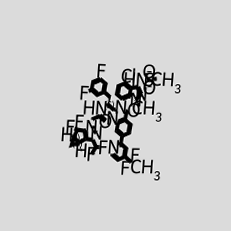 Cn1nc(NS(C)(=O)=O)c2c(Cl)ccc(-n3c([C@H](Cc4cc(F)cc(F)c4)NC(=O)Cn4nc(C(F)F)c5c4C(F)(F)[C@@H]4C[C@H]54)nc4cc(-c5cc(C(C)(F)F)ccn5)ccc4c3=O)c21